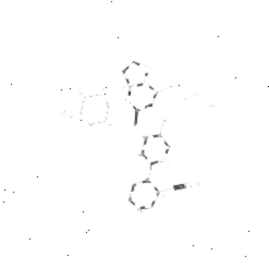 CCCCc1c(Cc2ccc(-c3ccccc3C#N)nc2)c(=O)n([C@H]2CC[C@H](O)CC2)c2ccnn12